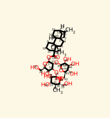 C=C1C[C@@]23CC[C@H]4[C@@](C)(CCC[C@@]4(C)C(=O)O[C@@H]4O[C@H](CO)[C@@H](O)[C@H](O[C@@H]5O[C@H](CO)[C@@H](C)[C@H](O)[C@H]5O)[C@H]4O[C@@H]4O[C@H](CO)[C@@H](O)[C@H](O)[C@H]4O)[C@@H]2CC[C@@H]1C3